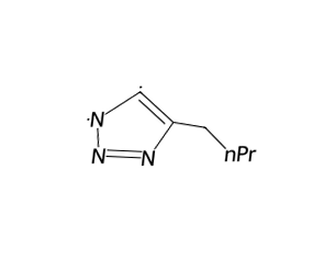 CCCCC1=[C][N]N=N1